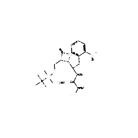 C[C@@H](O[Si](C)(C)C(C)(C)C)[C@H]1C(=O)N[C@H]1[C@@](C)(Cc1ccccc1[N+](=O)[O-])C(=O)C(=[N+]=[N-])C(=O)O